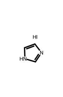 I.c1c[nH]cn1